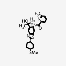 CS[C@H]1CC[C@H](c2nc3cc(C(C)(C)O)c(NC(=O)c4cccc(C(F)(F)F)n4)cc3s2)CC1